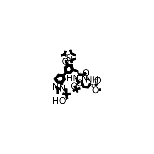 COC(=O)[C@@H]1CCCN(C(=O)[C@H](Cc2cc(O[Si](C(C)C)(C(C)C)C(C)C)cc(-c3ccc4nc(C)n(CC(C)(C)CO)c4c3)c2)NC(=O)OC(C)(C)C)N1